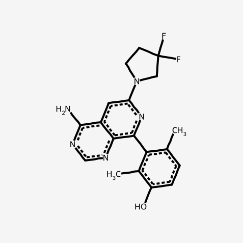 Cc1ccc(O)c(C)c1-c1nc(N2CCC(F)(F)C2)cc2c(N)ncnc12